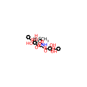 CC(C)(C)OC(=O)NC(COC(=O)c1cc(O)c(OCc2ccccc2)c(O)c1)COC(=O)c1cc(O)c(OCc2ccccc2)c(O)c1